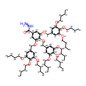 CCCCOc1cc(COc2cc(C(=O)NN)cc(OCc3cc(OCCCC)c(OCCCC)c(OCCCC)c3)c2OCc2cc(OCCCC)c(OCCCC)c(OCCCC)c2)cc(OCCCC)c1OCCCC